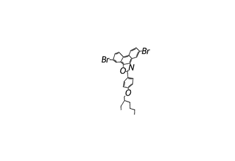 CCCCC(CC)COc1ccc(-c2nc3c4cc(Br)ccc4c4ccc(Br)cc4c3o2)cc1